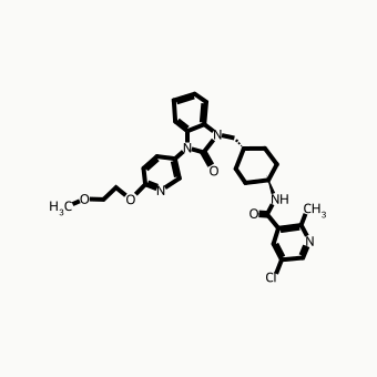 COCCOc1ccc(-n2c(=O)n(C[C@H]3CC[C@H](NC(=O)c4cc(Cl)cnc4C)CC3)c3ccccc32)cn1